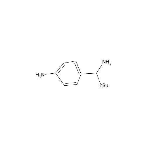 CCCCC(N)c1ccc(N)cc1